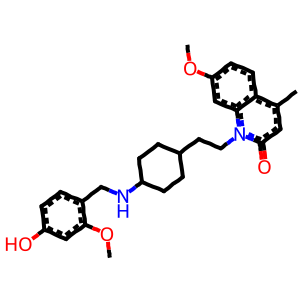 COc1ccc2c(C)cc(=O)n(CCC3CCC(NCc4ccc(O)cc4OC)CC3)c2c1